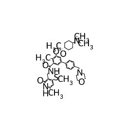 CSc1cc(C)[nH]c(=O)c1CNC(=O)c1cc(-c2ccc(CN3CCOCC3)cc2)c2c(c1C)OC(C)([C@H]1CC[C@H](N(C)C)CC1)O2